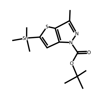 Cc1nn(C(=O)OC(C)(C)C)c2c[c]([Sn]([CH3])([CH3])[CH3])sc12